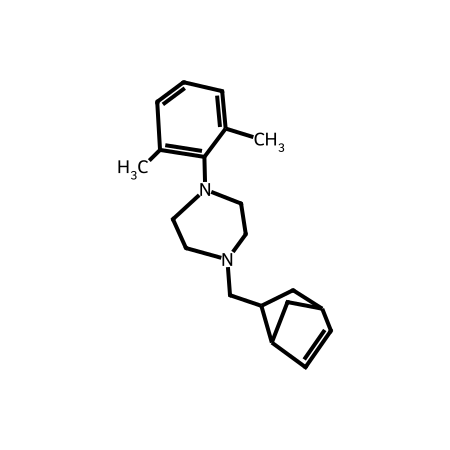 Cc1cccc(C)c1N1CCN(CC2CC3C=CC2C3)CC1